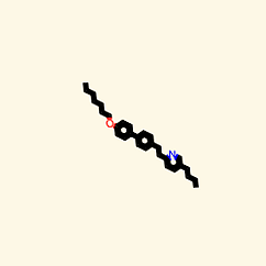 CCCCCCCOc1ccc(-c2ccc(CCc3ccc(CCCC)cn3)cc2)cc1